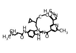 Cc1cc2cc(n1)-c1cnn(C)c1OCCCC(C1CC1)CN1/C(=N/C2=O)Nc2ccc(NC(=O)CCN(C)C)cc21